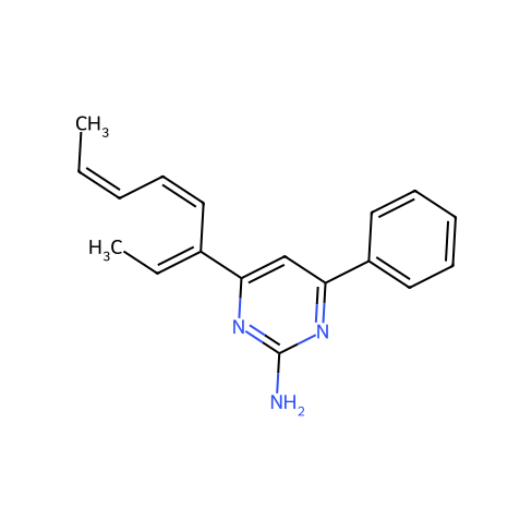 C\C=C/C=C\C(=C/C)c1cc(-c2ccccc2)nc(N)n1